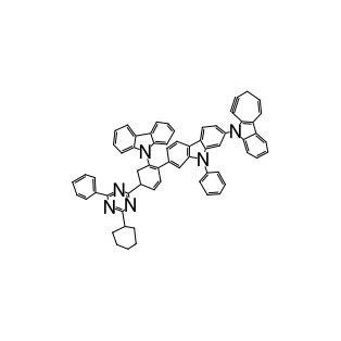 C1#Cc2c(c3ccccc3n2-c2ccc3c4ccc(C5=C(n6c7ccccc7c7ccccc76)CC(c6nc(-c7ccccc7)nc(C7CCCCC7)n6)C=C5)cc4n(-c4ccccc4)c3c2)C=CC1